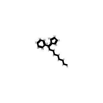 CCCCCCCCC(=C1C=CC=C1)c1ccccc1